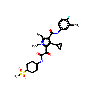 Cc1cc(NC(=O)c2c(C3CC3)c(C(=O)C(=O)NC3CCC(S(C)(=O)=O)CC3)n(C)c2C)ccc1F